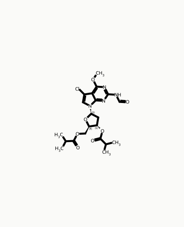 COc1nc(NC=O)nc2c1c(Cl)cn2[C@@H]1C[C@H](OC(=O)C(C)C)[C@@H](COC(=O)C(C)C)O1